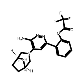 Nc1nnc(-c2ccccc2OC(=O)C(F)(F)F)cc1N1C[C@H]2CC[C@@H](C1)N2